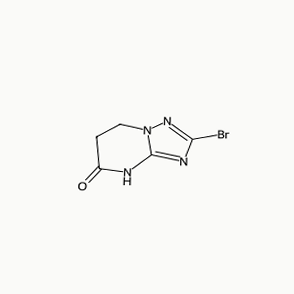 O=C1CCn2nc(Br)nc2N1